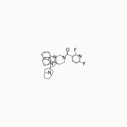 Cc1nc2ccccc2n1C1CC2CCC(C1)N2CCC1(c2ccccc2)CCN(C(=O)c2ccc(F)nc2F)CC1